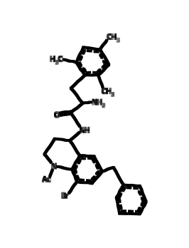 CC(=O)N1CCC(NC(=O)C(N)Cc2c(C)cc(C)cc2C)c2cc(Cc3ccccc3)cc(Br)c21